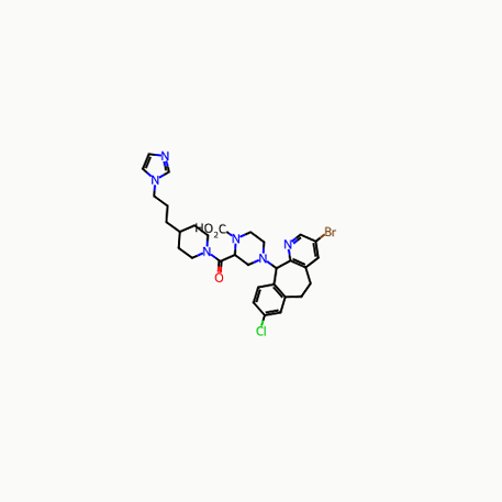 O=C(C1CN(C2c3ccc(Cl)cc3CCc3cc(Br)cnc32)CCN1C(=O)O)N1CCC(CCCn2ccnc2)CC1